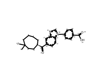 CC1(F)CCCC[C@@H](C(=O)c2ccc3c(c2)ncn3-c2ccc(C(=O)O)cc2)CC1